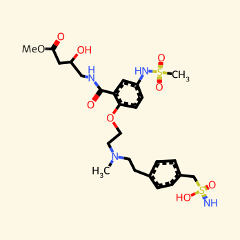 COC(=O)CC(O)CNC(=O)c1cc(NS(C)(=O)=O)ccc1OCCN(C)CCc1ccc(CS(=N)(=O)O)cc1